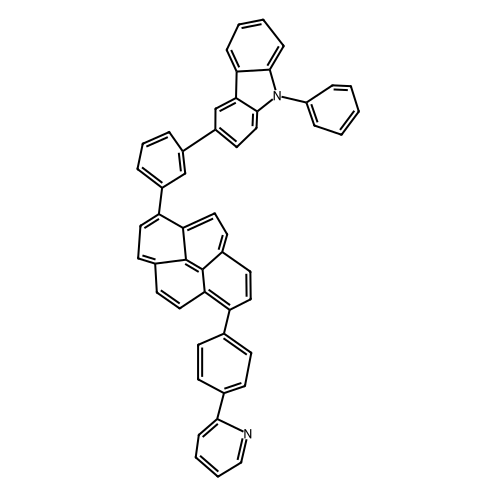 c1ccc(-n2c3ccccc3c3cc(-c4cccc(-c5ccc6ccc7c(-c8ccc(-c9ccccn9)cc8)ccc8ccc5c6c87)c4)ccc32)cc1